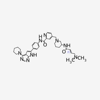 CN(C)C/C=C/C(=O)NC1CCCN(Cc2ccnc(C(=O)Nc3ccc(-c4cc5c(N6CCCCC6)ncnc5[nH]4)cc3)c2)C1